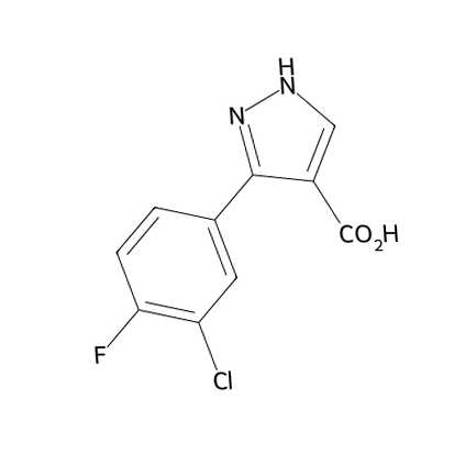 O=C(O)c1c[nH]nc1-c1ccc(F)c(Cl)c1